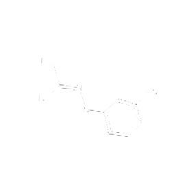 N#Cc1cccc(NN=C(Br)C(F)(F)F)c1